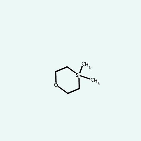 C[Si]1(C)CCOCC1